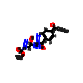 COC(=O)c1ccc(C(=O)NNC(=O)CNC(=O)OC(C)(C)C)cc1